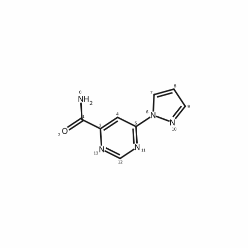 NC(=O)c1cc(-n2cccn2)ncn1